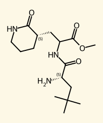 COC(=O)C(C[C@@H]1CCCNC1=O)NC(=O)[C@@H](N)CC(C)(C)C